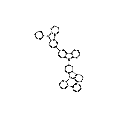 c1ccc(-c2ccccc2-n2c3ccccc3c3cc(-n4c5ccccc5c5cc(-c6ccc7c(c6)c6ccccc6n7-c6ccccc6)ccc54)ccc32)cc1